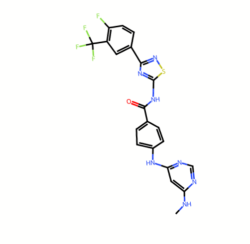 CNc1cc(Nc2ccc(C(=O)Nc3nc(-c4ccc(F)c(C(F)(F)F)c4)ns3)cc2)ncn1